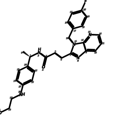 C[C@H](NC(=O)CCc1nc2cccnc2n1Cc1ccc(F)cc1)c1ccc(NCCO)cc1